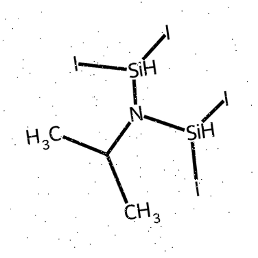 CC(C)N([SiH](I)I)[SiH](I)I